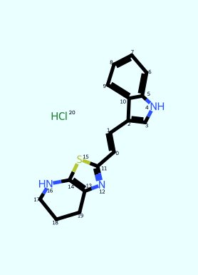 C(=Cc1c[nH]c2ccccc12)c1nc2c(s1)NCCC2.Cl